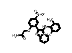 Cc1cccc(C)c1Nc1c(-c2cc([N+](=O)[O-])ccc2OCC(N)=O)nc2ccccn12